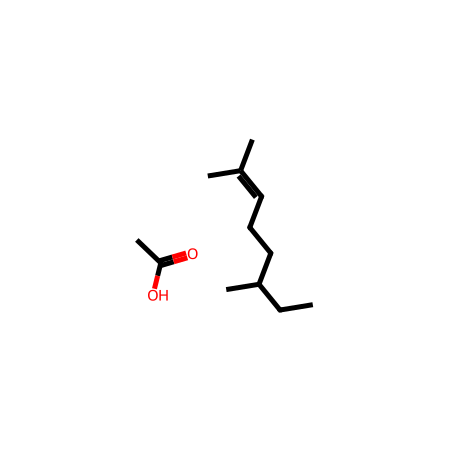 CC(=O)O.CCC(C)CCC=C(C)C